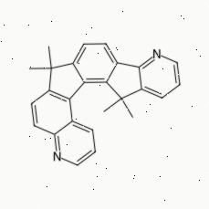 CC1(C)c2ccc3c(c2-c2c1ccc1ncccc21)C(C)(C)c1cccnc1-3